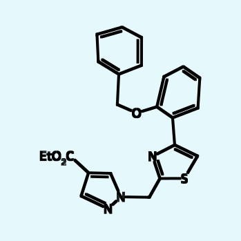 CCOC(=O)c1cnn(Cc2nc(-c3ccccc3OCc3ccccc3)cs2)c1